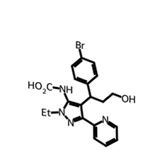 CCn1nc(-c2ccccn2)c(C(CCO)c2ccc(Br)cc2)c1NC(=O)O